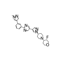 Cn1cc(-c2cccc(-c3ncc(-c4cnn(C5CCN([C@H]6CCOC[C@H]6F)CC5)c4)cn3)c2)cn1